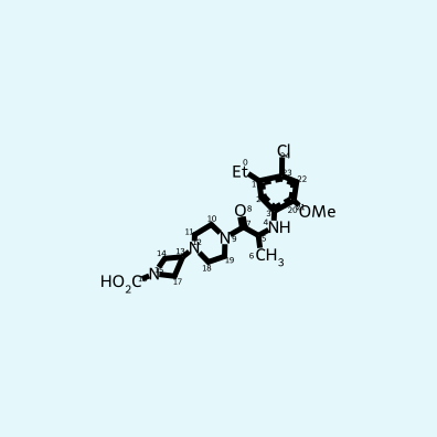 CCc1cc(NC(C)C(=O)N2CCN(C3CN(C(=O)O)C3)CC2)c(OC)cc1Cl